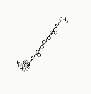 CCCCSCCC(=O)OCCOCCOCCOCCOC(=O)CCSCCC[Si](C)(OC)OC